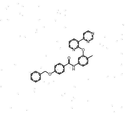 Cc1ccc(NC(=O)c2ccc(OCc3ccccc3)cc2)cc1Oc1ncccc1-c1ccncn1